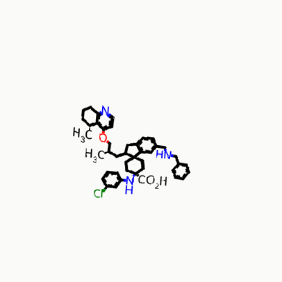 C[C@@H](COc1ccnc2c1[C@H](C)CCC2)CC1Cc2ccc(CNCc3ccccc3)cc2C12CCC(Nc1cccc(Cl)c1)(C(=O)O)CC2